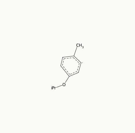 Cc1[c]cc(OC(C)C)cc1